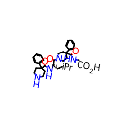 CC(C)C[C@@H](NC(=O)C1(c2ccccc2)CCNCC1)C(=O)N1CCC(C(=O)NCC(=O)O)(c2ccccc2)CC1